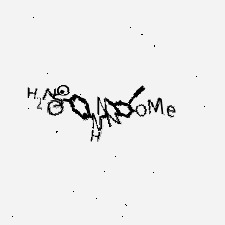 C#Cc1cc2cnc(Nc3ccc(S(N)(=O)=O)cc3)nc2cc1OC